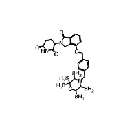 BC1OC(B)(B)C(B)N(Cc2ccc(COc3cccc4c3CN(C3CCC(=O)NC3=O)C4=O)cc2)C1B